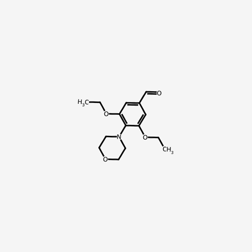 CCOc1cc(C=O)cc(OCC)c1N1CCOCC1